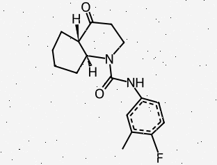 Cc1cc(NC(=O)N2CCC(=O)[C@H]3CCCC[C@H]32)ccc1F